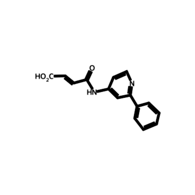 O=C(O)/C=C/C(=O)Nc1ccnc(-c2ccccc2)c1